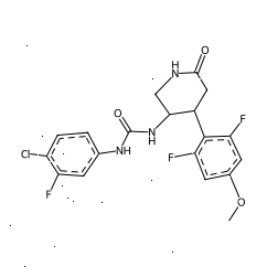 COc1cc(F)c(C2CC(=O)NCC2NC(=O)Nc2ccc(Cl)c(F)c2)c(F)c1